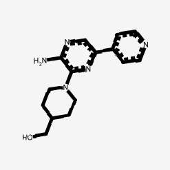 Nc1ncc(-c2ccncc2)nc1N1CCC(CO)CC1